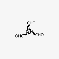 O=CC=CN1CN(C=CC=O)CN(C=CC=O)C1